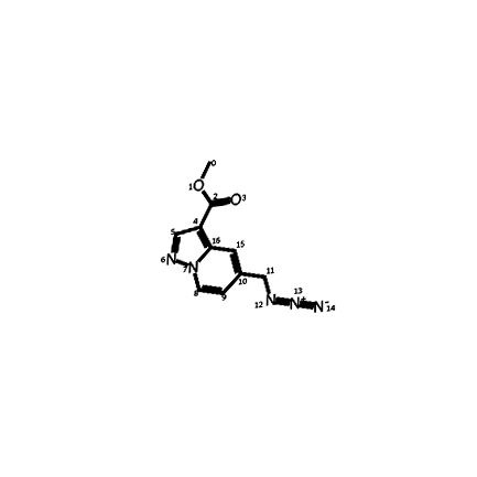 COC(=O)c1cnn2ccc(CN=[N+]=[N-])cc12